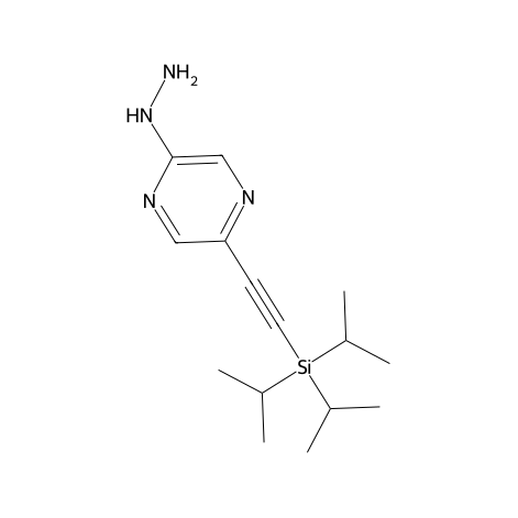 CC(C)[Si](C#Cc1cnc(NN)cn1)(C(C)C)C(C)C